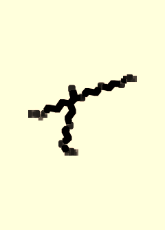 CCCCOCCOCCOC(=O)C(CCCC(=O)O)CCOCCOCCCC